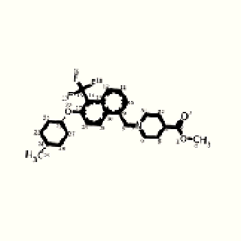 COC(=O)C1CCN(Cc2cccc3c(C(F)(F)F)c(O[C@H]4CC[C@@H](C)CC4)ccc23)CC1